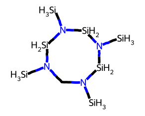 [SiH3]N1CN([SiH3])[SiH2]N([SiH3])[SiH2]N([SiH3])[SiH2]1